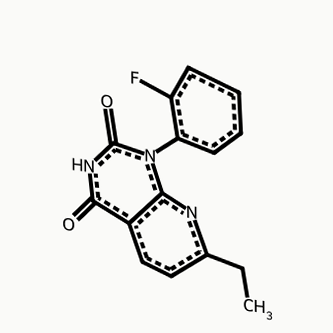 CCc1ccc2c(=O)[nH]c(=O)n(-c3ccccc3F)c2n1